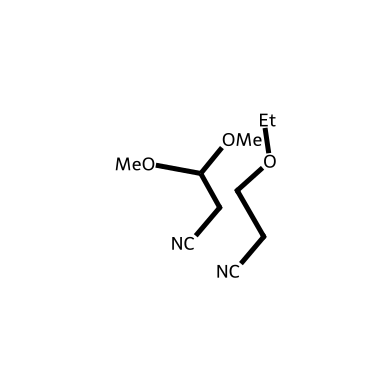 CCOCCC#N.COC(CC#N)OC